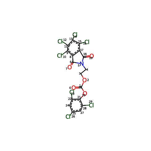 O=C(OCCN1C(=O)c2c(Cl)c(Cl)c(Cl)c(Cl)c2C1=O)Oc1c(Cl)cc(Cl)cc1Cl